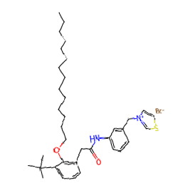 CCCCCCCCCCCCCCOc1c(CC(=O)Nc2cccc(C[n+]3ccsc3)c2)cccc1C(C)(C)C.[Br-]